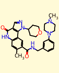 Cc1cc2[nH]c(=O)c3cnn(C4CCOCC4)c3c2cc1C(=O)NCc1cccc(N2CCN(C)CC2)c1